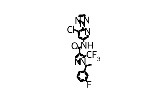 CC(c1cccc(F)c1)n1ncc(C(=O)Nc2cnc(-n3nccn3)c(Cl)c2)c1C(F)(F)F